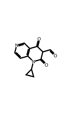 O=CC1C(=O)c2cnccc2N(C2CC2)C1=O